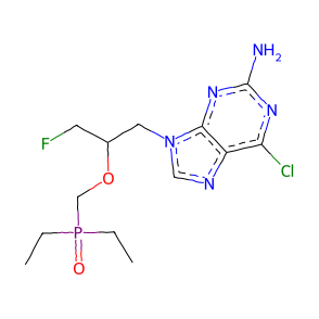 CCP(=O)(CC)COC(CF)Cn1cnc2c(Cl)nc(N)nc21